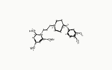 COC1=CC(OC)=NC(O)N1CCCN1CCC(Oc2ccc(Cl)c(Cl)c2)CC1